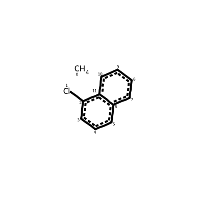 C.Clc1cccc2ccccc12